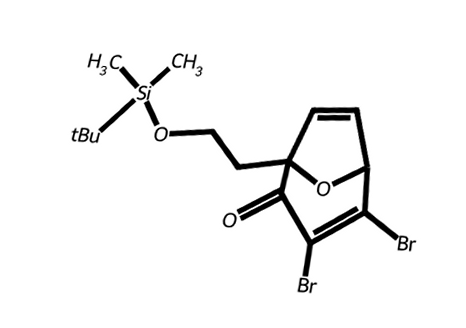 CC(C)(C)[Si](C)(C)OCCC12C=CC(O1)C(Br)=C(Br)C2=O